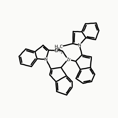 Cc1cc2ccccc2n1C1=Cc2ccccc2[CH]1[Zr]([CH2]Cl)[CH]1C(n2c(C)cc3ccccc32)=Cc2ccccc21